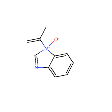 C=C(C)[N+]1([O-])C=Nc2ccccc21